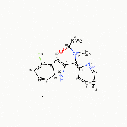 C=CC(/N=C\C)=C(\C1=CC2C(F)=CC=CC2N1)N(C)C(=O)NC